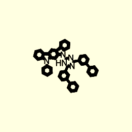 c1ccc(-c2cccc(C3=NC(n4c5ccccc5c5cc6c7ccccc7n(-c7ccccc7)c6cc54)NC(c4cccc(-c5ccccc5)c4)=N3)c2)cc1